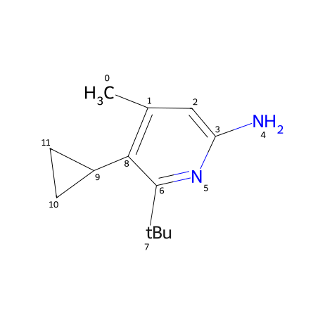 Cc1cc(N)nc(C(C)(C)C)c1C1CC1